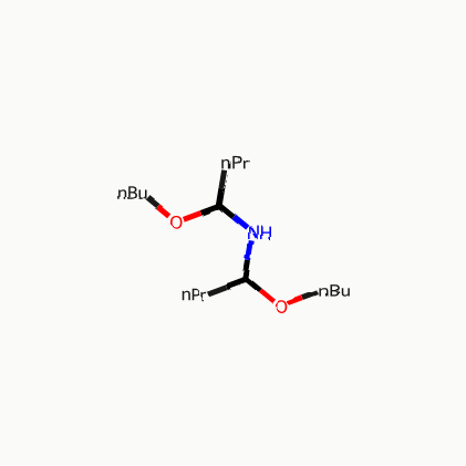 CCCCOC(CCC)NC(CCC)OCCCC